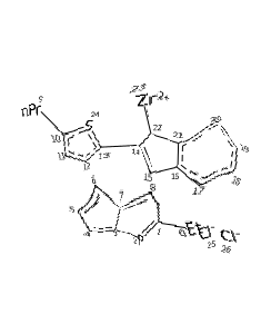 CCC1=PC2=CC=CC2=C1.CCCc1ccc(C2=Cc3ccccc3[CH]2[Zr+2])s1.[Cl-].[Cl-]